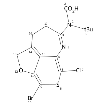 CC(C)(C)N(C(=O)O)C1=NC2=C(Cl)SC(Br)=C3OCC(=C23)CC1